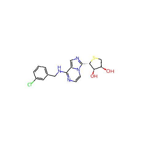 O[C@@H]1[C@H](O)CS[C@H]1c1ncc2c(NCc3cccc(Cl)c3)nccn12